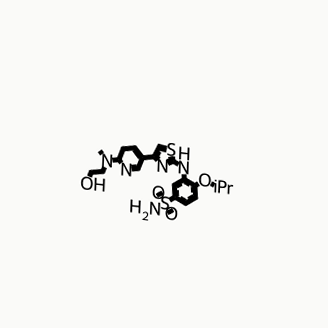 CC(C)Oc1ccc(S(N)(=O)=O)cc1Nc1nc(C2=CCC(N(C)CCO)N=C2)cs1